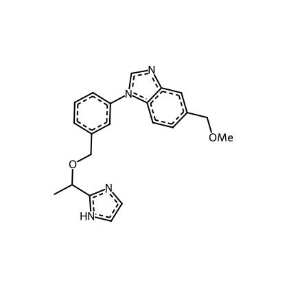 COCc1ccc2c(c1)ncn2-c1cccc(COC(C)c2ncc[nH]2)c1